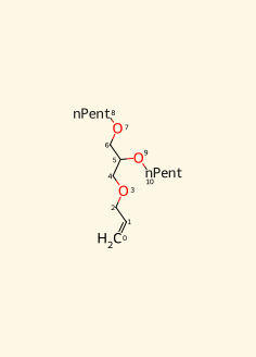 C=CCOCC(COCCCCC)OCCCCC